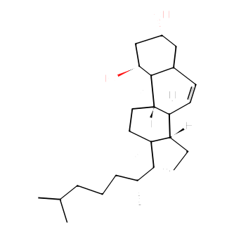 CC(C)CCC[C@@H](C)[C@H]1CC[C@H]2[C@@H]3C=CC4C[C@@H](O)C[C@H](O)[C@]4(C)[C@H]3CC[C@]12C